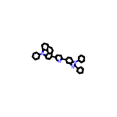 c1ccc(-c2nc3cc(-c4ccc(-c5ccc6c7c5ccc5cccc(c57)n6-c5ccccc5)cn4)ccc3n2-c2ccccc2)cc1